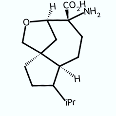 CC(C)C1CC[C@]23CO[C@H](C2)[C@@](N)(C(=O)O)CC[C@@H]13